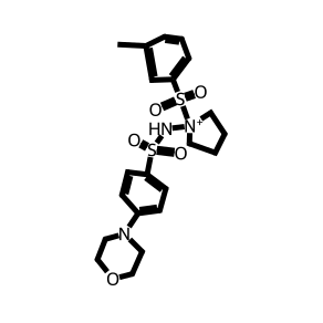 Cc1cccc(S(=O)(=O)[N+]2(NS(=O)(=O)c3ccc(N4CCOCC4)cc3)CCCC2)c1